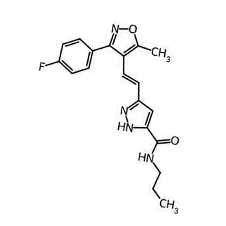 CCCNC(=O)c1cc(C=Cc2c(-c3ccc(F)cc3)noc2C)n[nH]1